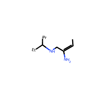 C/C=C(/N)CNC(CC)C(C)C